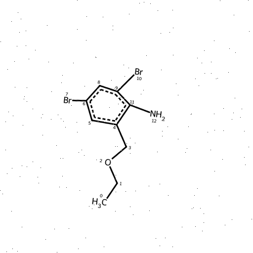 CCOCc1cc(Br)cc(Br)c1N